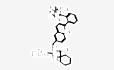 CCCCC1=NC2(CCCCC2)C(=O)N1Cc1ccc2nc(-c3ccccc3-c3nnn[nH]3)ccc2c1